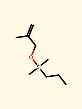 C=C(C)CO[Si](C)(C)CCC